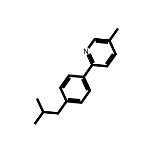 Cc1ccc(-c2ccc(CC(C)C)cc2)nc1